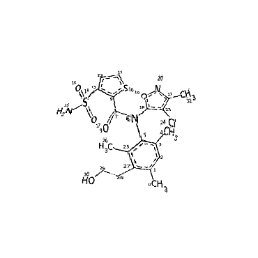 Cc1cc(C)c(N(C(=O)c2sccc2S(N)(=O)=O)c2onc(C)c2Cl)c(C)c1CCO